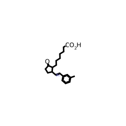 Cc1cccc(/C=C/C2CCC(=O)C2CCCCCCC(=O)O)c1